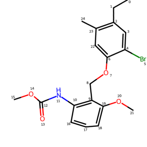 CCc1cc(Br)c(OCc2c(NC(=O)OC)cccc2OC)cc1C